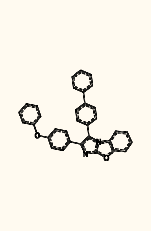 c1ccc(Oc2ccc(-c3nc4oc5ccccc5n4c3-c3ccc(-c4ccccc4)cc3)cc2)cc1